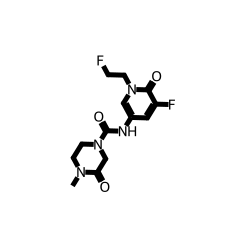 CN1CCN(C(=O)Nc2cc(F)c(=O)n(CCF)c2)CC1=O